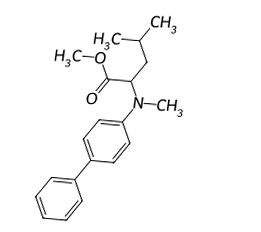 COC(=O)C(CC(C)C)N(C)c1ccc(-c2ccccc2)cc1